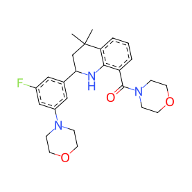 CC1(C)CC(c2cc(F)cc(N3CCOCC3)c2)Nc2c(C(=O)N3CCOCC3)cccc21